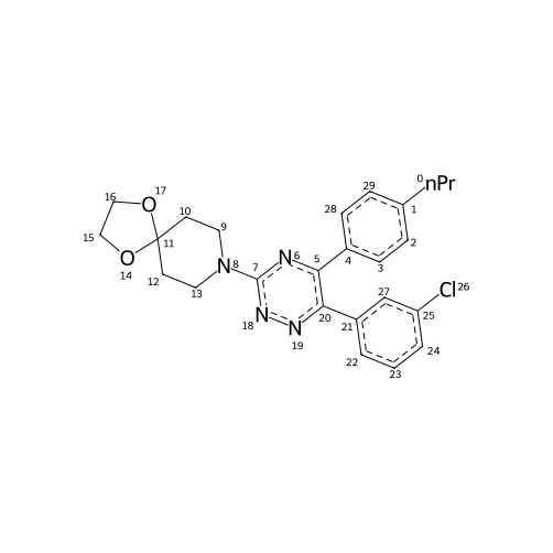 CCCc1ccc(-c2nc(N3CCC4(CC3)OCCO4)nnc2-c2cccc(Cl)c2)cc1